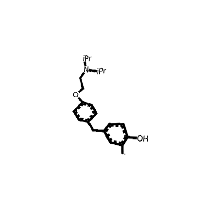 [CH2]c1cc(Cc2ccc(OCCN(C(C)C)C(C)C)cc2)ccc1O